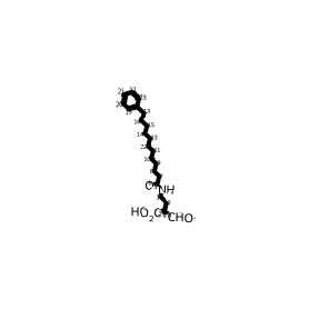 O=[C]C(CCNC(=O)CCCCCCCCCCCc1ccccc1)C(=O)O